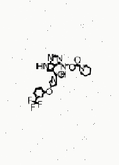 O=C(OCNc1ncnc2[nH]cc(C(=O)N3CC(Oc4cccc(C(F)(F)F)c4)C3)c12)N1CCCCC1